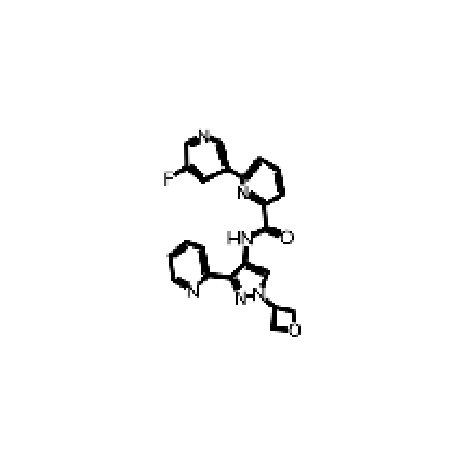 O=C(Nc1cn(C2COC2)nc1-c1ccccn1)c1cccc(-c2cncc(F)c2)n1